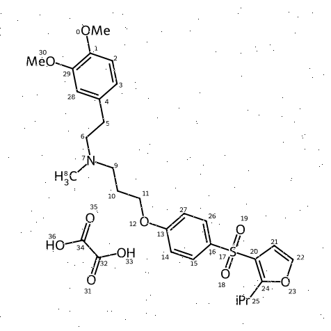 COc1ccc(CCN(C)CCCOc2ccc(S(=O)(=O)c3ccoc3C(C)C)cc2)cc1OC.O=C(O)C(=O)O